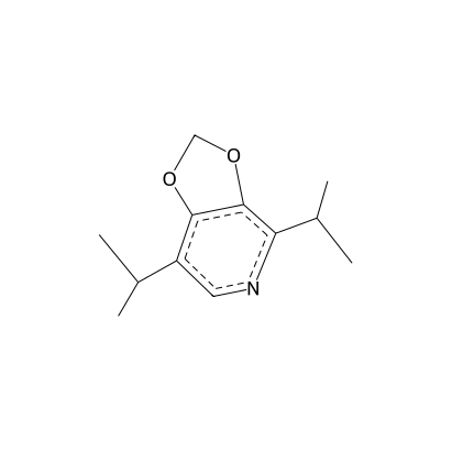 CC(C)c1cnc(C(C)C)c2c1OCO2